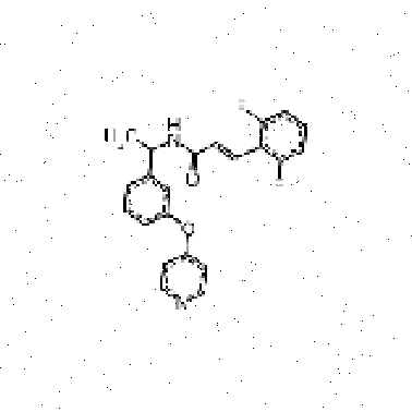 CC(NC(=O)C=Cc1c(F)cccc1F)c1cccc(Oc2ccncc2)c1